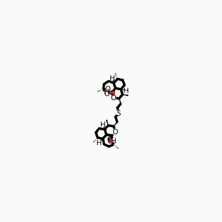 C[C@H]1[C@@H](CCSCC[C@H]2O[C@@H]3O[C@]4(C)CC[C@H]5[C@H](C)CC[C@@H]([C@H]2C)[C@@]35OO4)O[C@@H]2O[C@]3(C)CC[C@H]4[C@H](C)CC[C@@H]1[C@@]24OO3